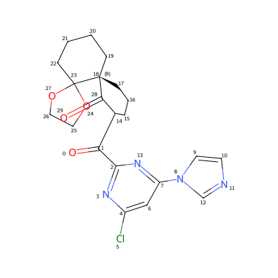 O=C(c1nc(Cl)cc(-n2ccnc2)n1)C1CCC[C@@]2(CCCCC23OCCO3)C1=O